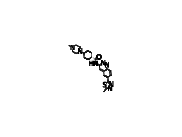 Cc1nnc(-c2ccc3nnc(NC(=O)[C@H]4CC[C@H](N5CCN(C)CC5)CC4)cc3c2)s1